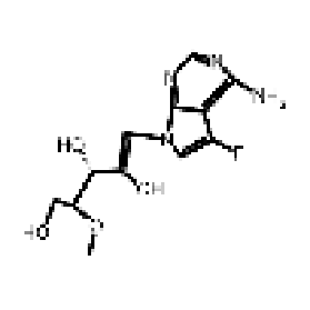 COC(CO)[C@H](O)C(O)=Cn1cc(F)c2c(N)ncnc21